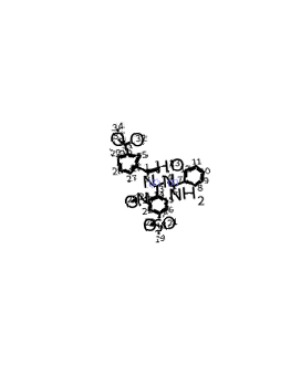 C=C(/N=C(\N=C(/N)c1ccccc1O)c1ccc(S(C)(=O)=O)cc1N=O)c1cccc(C(=O)OC)c1